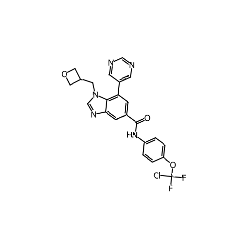 O=C(Nc1ccc(OC(F)(F)Cl)cc1)c1cc(-c2cncnc2)c2c(c1)ncn2CC1COC1